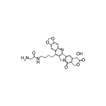 NCC(=O)NCCCCc1c2c(nc3cc4c(cc13)OCO4)-c1cc3c(c(=O)n1C2)COC(=O)[C@H]3O